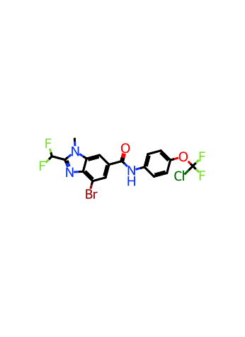 Cn1c(C(F)F)nc2c(Br)cc(C(=O)Nc3ccc(OC(F)(F)Cl)cc3)cc21